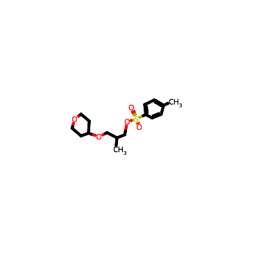 Cc1ccc(S(=O)(=O)OCC(C)COC2CCOCC2)cc1